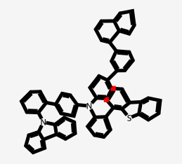 c1cc(-c2ccc(N(c3ccc(-c4ccccc4-n4c5ccccc5c5ccccc54)cc3)c3ccccc3-c3cccc4c3sc3ccccc34)cc2)cc(-c2cccc3ccccc23)c1